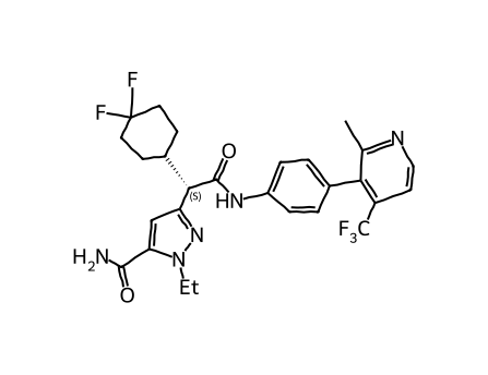 CCn1nc([C@@H](C(=O)Nc2ccc(-c3c(C(F)(F)F)ccnc3C)cc2)C2CCC(F)(F)CC2)cc1C(N)=O